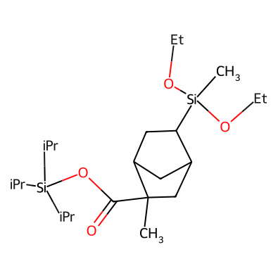 CCO[Si](C)(OCC)C1CC2CC1CC2(C)C(=O)O[Si](C(C)C)(C(C)C)C(C)C